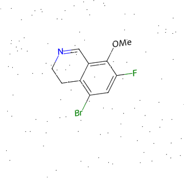 COc1c(F)cc(Br)c2c1C=NCC2